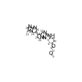 COCCO[C@H]1CC[C@@H](Nc2ncc3c(-c4cnc5ncc(C)n5c4)ccn3n2)CC1